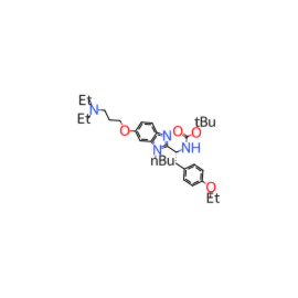 CCCCn1c([C@@H](Cc2ccc(OCC)cc2)NC(=O)OC(C)(C)C)nc2ccc(OCCCN(CC)CC)cc21